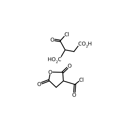 O=C(O)CC(C(=O)O)C(=O)Cl.O=C1CC(C(=O)Cl)C(=O)O1